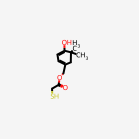 CC1(C)CC(COC(=O)CS)=CC=C1O